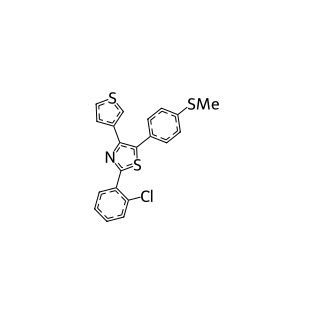 CSc1ccc(-c2sc(-c3ccccc3Cl)nc2-c2ccsc2)cc1